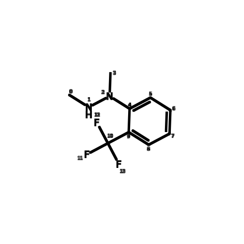 CNN(C)c1ccccc1C(F)(F)F